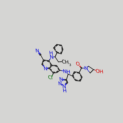 CCC(Nc1c(C#N)cnc2c(Cl)cc(NC(c3cccc(C(=O)N4CC(O)C4)c3)c3c[nH]nn3)cc12)c1ccccc1